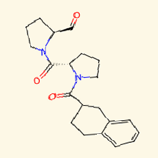 O=C[C@@H]1CCCN1C(=O)[C@@H]1CCCN1C(=O)C1CCc2ccccc2C1